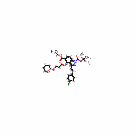 CCOC(=O)c1ccc2c(c(/C=C/c3ccc(F)cc3)nn2C(=O)OC(C)(C)C)c1OCCCOC1CCCCO1